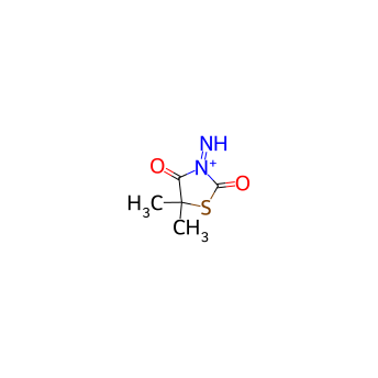 CC1(C)SC(=O)[N+](=N)C1=O